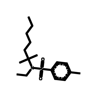 CCCCCC(C)(C)N(CC)S(=O)(=O)c1ccc(C)cc1